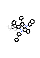 CC1(C)c2ccccc2-c2ccc(N(c3ccc(-c4ccccc4)cc3)c3cc4ccccc4c4c3c3ccc(-c5ccccc5)cc3n4-c3ccc4ccccc4c3)cc21